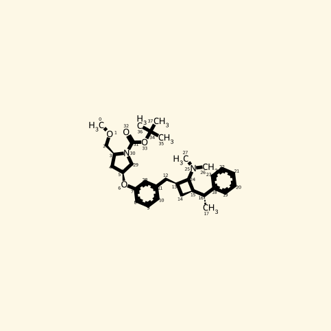 COC[C@@H]1C[C@H](Oc2cccc(C[C@@H]3C[C@H]([C@@H](C)c4ccccc4)C3N(C)C)c2)CN1C(=O)OC(C)(C)C